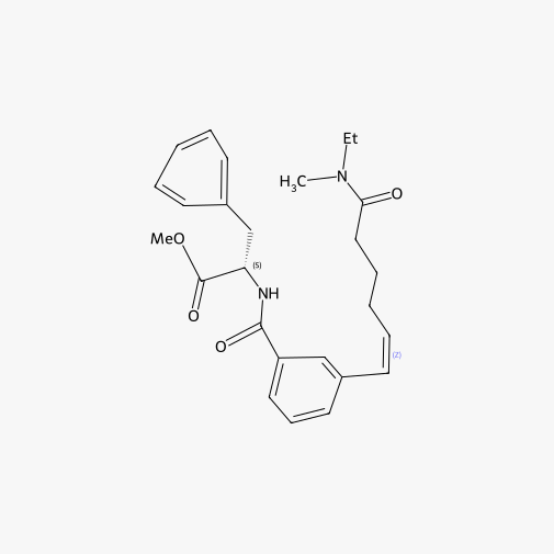 CCN(C)C(=O)CCC/C=C\c1cccc(C(=O)N[C@@H](Cc2ccccc2)C(=O)OC)c1